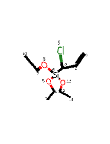 C=CC(Cl)[Si](OCC)(OCC)OCC